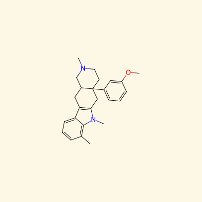 COc1cccc(C23CCN(C)CC2Cc2c(n(C)c4c(C)cccc24)C3)c1